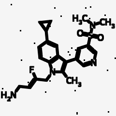 Cc1c(-c2cncc(S(=O)(=O)N(C)C)c2)c2cc(C3CC3)ccc2n1CC(F)=CCN